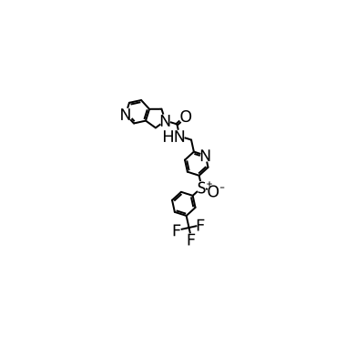 O=C(NCc1ccc([S+]([O-])c2cccc(C(F)(F)F)c2)cn1)N1Cc2ccncc2C1